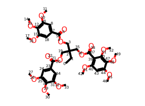 CCC(COC(=O)c1cc(OC)c(OC)c(OC)c1)(COC(=O)c1cc(OC)c(OC)c(OC)c1)COC(=O)c1c(OC)cc(OC)c(OC)c1OC